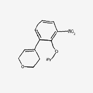 CC(C)Oc1c(C2=CCOCC2)cccc1[N+](=O)[O-]